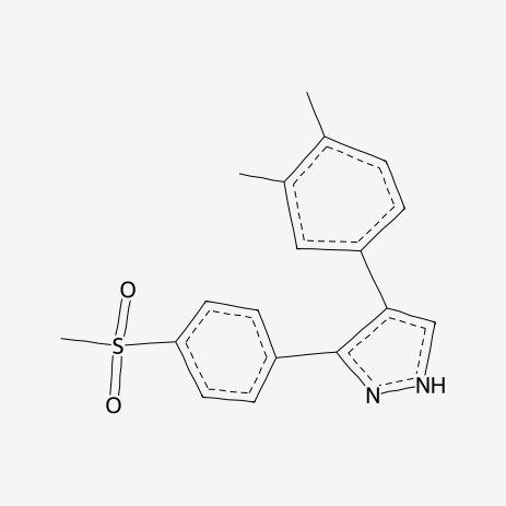 Cc1ccc(-c2c[nH]nc2-c2ccc(S(C)(=O)=O)cc2)cc1C